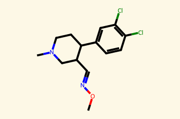 CON=CC1CN(C)CCC1c1ccc(Cl)c(Cl)c1